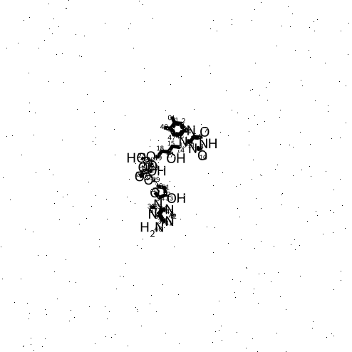 Cc1cc2nc3c(=O)[nH]c(=O)nc-3n(CC[C@H](O)CCOP(=O)(O)OP(=O)(O)OC[C@@H]3C[C@@H](O)[C@H](n4cnc5c(N)ncnc54)O3)c2cc1C